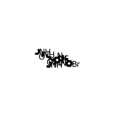 C=CC(=O)Nc1cc2c(Nc3ccc(Br)cc3F)ncnc2cc1OCCNC(=O)NC(C)CC